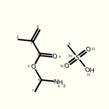 C=C(C)C(=O)OC(C)N.CS(=O)(=O)O